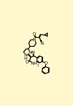 N#CC(=CC1CC1)C(=O)N1CCC(C2CCNc3c(C(N)=O)c(-c4ccc(Oc5ccccc5)cc4)nn32)CC1